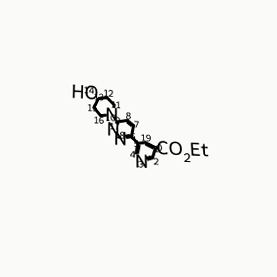 CCOC(=O)c1cncc(-c2ccc(N3CCC(O)CC3)nn2)c1